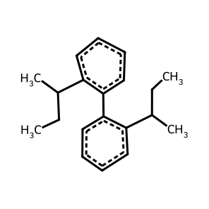 CCC(C)c1ccccc1-c1ccccc1C(C)CC